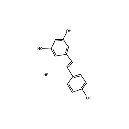 F.Oc1ccc(C=Cc2cc(O)cc(O)c2)cc1